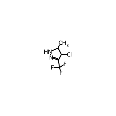 CC1NN=C(C(F)(F)F)C1Cl